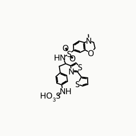 CN1CCOc2cc(S(=O)(=O)NC(Cc3ccc(NS(=O)(=O)O)cc3)c3csc(-c4cccs4)n3)ccc21